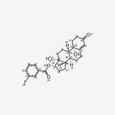 C[C@]12CC[C@H]3[C@@H](CCC4=CC(=O)CC[C@@]43C)[C@@H]1CC[C@@H]2OC(=O)c1cccc(F)c1